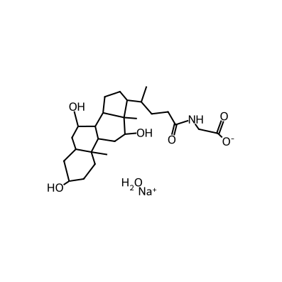 CC(CCC(=O)NCC(=O)[O-])C1CCC2C3C(O)CC4CC(O)CCC4(C)C3CC(O)C12C.O.[Na+]